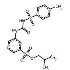 Cc1ccc(S(=O)(=O)NC(=O)Nc2cccc(S(=O)(=O)OCC(C)C)c2)cc1